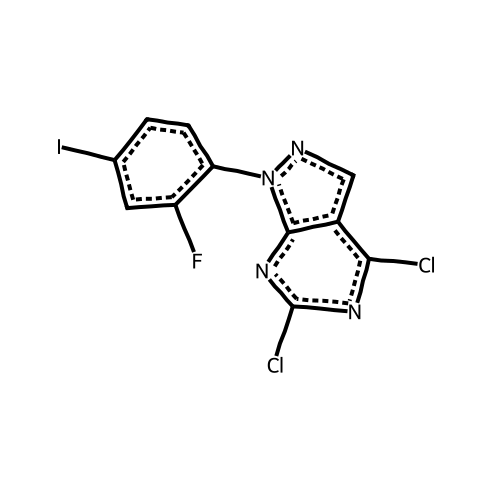 Fc1cc(I)ccc1-n1ncc2c(Cl)nc(Cl)nc21